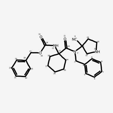 N#CC1(N(Cc2ccccc2)C(=O)C2(NC(=O)OCc3ccccc3)CCCCC2)CCNC1